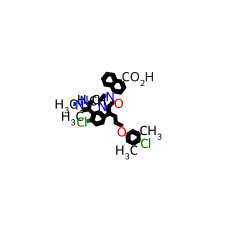 Cc1cc(OCCCc2c3n(c4c(-c5c(C)nn(C)c5C)c(Cl)ccc24)C(C)CN(c2ccc(C(=O)O)c4ccccc24)C3=O)cc(C)c1Cl